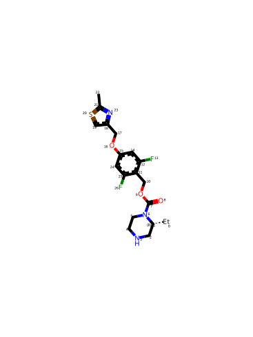 CC[C@@H]1CNCCN1C(=O)OCc1c(F)cc(OCc2csc(C)n2)cc1F